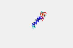 O=C(NCc1cc2nc(-c3ccnc([C@H]4CC4(F)F)n3)ccc2cn1)c1cc(F)c2c(c1)S(=O)(=O)[C@@H](F)CCO2